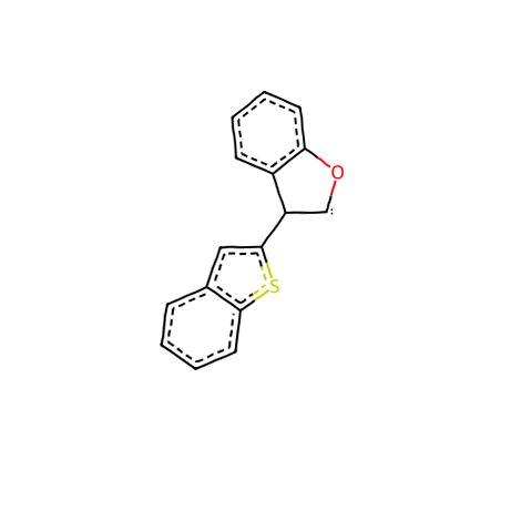 [C]1Oc2ccccc2C1c1cc2ccccc2s1